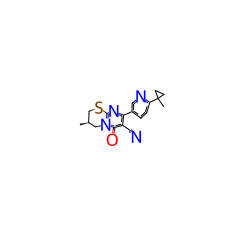 C[C@H]1CSc2nc(-c3ccc(C4(C)CC4)nc3)c(C#N)c(=O)n2C1